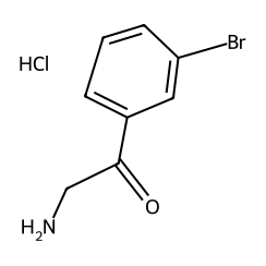 Cl.NCC(=O)c1cccc(Br)c1